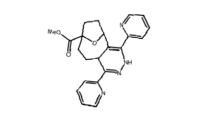 COC(=O)C12CCC(O1)C1=C(c3ccccn3)NN=C(c3ccccn3)C1CC2